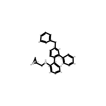 c1ccc(Cc2ccc(-c3ccccc3OCC3CO3)c(-c3ccccc3)c2)cc1